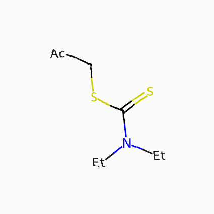 CCN(CC)C(=S)SCC(C)=O